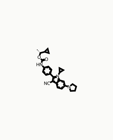 C[C@@H](OC(=O)Nc1ccc(-c2c(C#N)c3ccc(N4CCCC4)cc3n2C2CC2)cc1)C1CC1